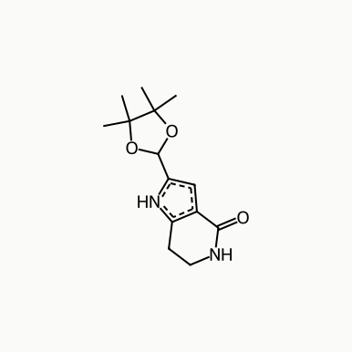 CC1(C)OC(c2cc3c([nH]2)CCNC3=O)OC1(C)C